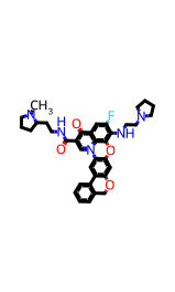 CN1CCCC1CCNC(=O)c1cn2c3c(c(NCCN4CCCC4)c(F)cc3c1=O)Oc1cc3c(cc1-2)-c1ccccc1CO3